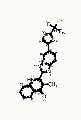 Cc1c(-c2nc3ccc(-c4cnc(C(F)(F)F)s4)cn3n2)[nH]c2ccccc2c1=O